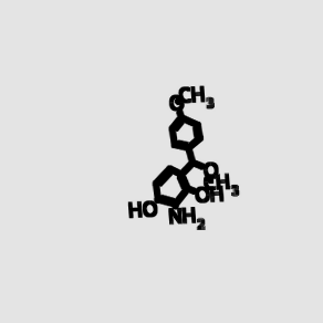 COc1ccc(C(OC)c2ccc(O)c(N)c2O)cc1